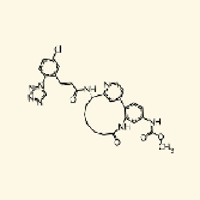 COC(=O)Nc1ccc2c(c1)NC(=O)CCCCC[C@H](NC(=O)/C=C/c1cc(Cl)ccc1-n1cnnn1)c1cc-2ccn1